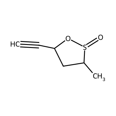 C#CC1CC(C)S(=O)O1